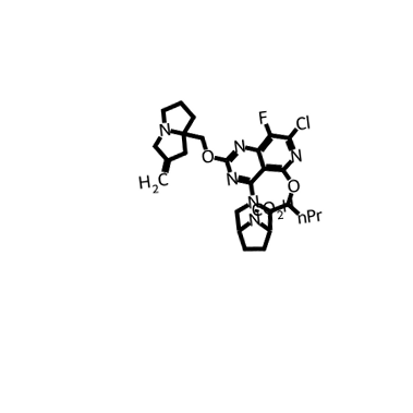 C=C1CN2CCCC2(COc2nc3c4c(nc(Cl)c(F)c4n2)OC(CCC)C2C4CCC(CN32)N4C(=O)O)C1